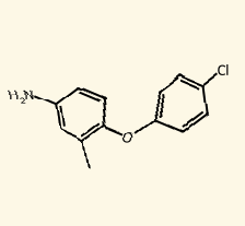 Cc1cc(N)ccc1Oc1ccc(Cl)cc1